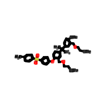 COCCOCc1cc(C(C)(C)c2ccc(Oc3ccc(S(=O)(=O)c4ccc(C)cc4)cc3)c(COCCOC)c2)ccc1OC